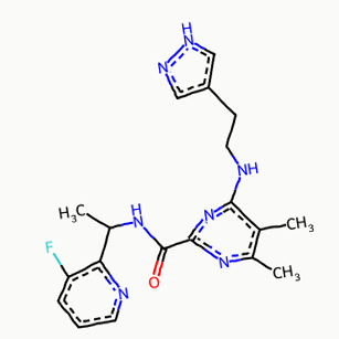 Cc1nc(C(=O)NC(C)c2ncccc2F)nc(NCCc2cn[nH]c2)c1C